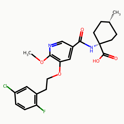 COc1ncc(C(=O)N[C@]2(C(=O)O)CC[C@H](C)CC2)cc1OCCc1cc(Cl)ccc1F